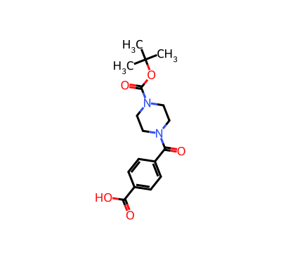 CC(C)(C)OC(=O)N1CCN(C(=O)c2ccc(C(=O)O)cc2)CC1